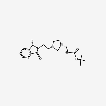 CC(C)(C)OC(=O)NC[C@H]1CCN(CCN2C(=O)c3ccccc3C2=O)C1